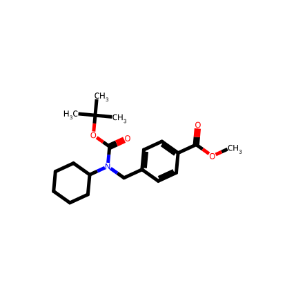 COC(=O)c1ccc(CN(C(=O)OC(C)(C)C)C2CCCCC2)cc1